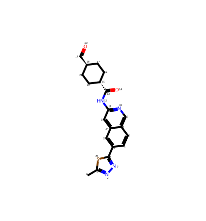 Cc1nnc(-c2ccc3cnc(NC(=O)[C@H]4CC[C@H](C=O)CC4)cc3c2)s1